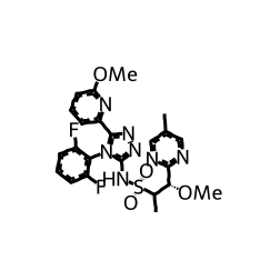 COc1cccc(-c2nnc(NS(=O)(=O)C(C)[C@@H](OC)c3ncc(C)cn3)n2-c2c(F)cccc2F)n1